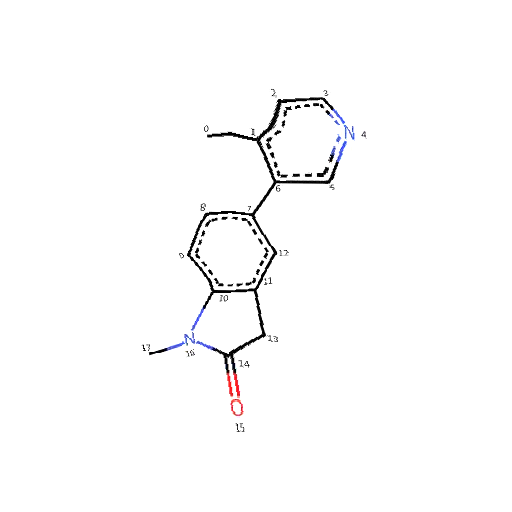 Cc1ccncc1-c1ccc2c(c1)CC(=O)N2C